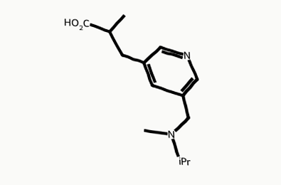 CC(Cc1cncc(CN(C)C(C)C)c1)C(=O)O